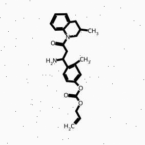 C=CCOC(=O)Oc1ccc(C(N)CC(=O)N2CC(C)Cc3ccccc32)c(C)c1